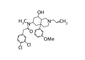 C=CCN1CCC2(c3cccc(OC)c3)CC(N(C)C(=O)Cc3ccc(Cl)c(Cl)c3)CC(O)C2C1